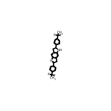 CC(F)(F)c1ccc(C2=Nc3cc4c(cc3C2)NC(c2ccc(C(C)(F)F)cc2)C4)cc1